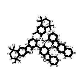 Cc1cc2c(cc1N1B3c4c(cc5oc6ccccc6c5c4-n4c5cc6ccccc6cc5c5cccc3c54)-c3c1ccc1c3oc3cc4c(cc31)C(C)(C)CCC4(C)C)C(C)(C)CCC2(C)C